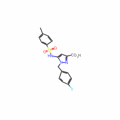 Cc1ccc(S(=O)(=O)Nc2cc(C(=O)O)nn2Cc2ccc(F)cc2)cc1